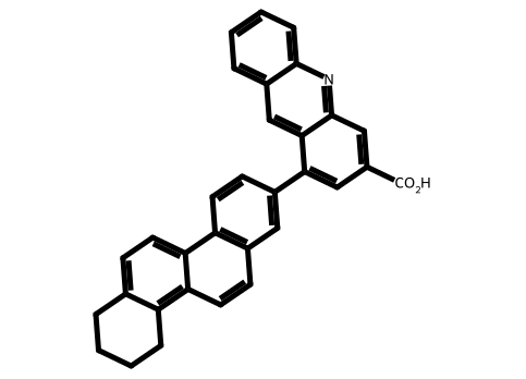 O=C(O)c1cc(-c2ccc3c(ccc4c5c(ccc43)CCCC5)c2)c2cc3ccccc3nc2c1